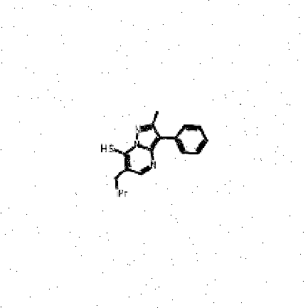 Cc1nn2c(S)c(CC(C)C)cnc2c1-c1ccccc1